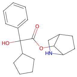 O=C(OC1C2CCC1NC2)C(O)(c1ccccc1)C1CCCC1